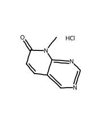 Cl.Cn1c(=O)ccc2cncnc21